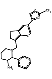 NC1CCCN(CC2=C3OC=C(c4noc(C(F)(F)F)n4)C=C3CC2)C1c1ccccc1